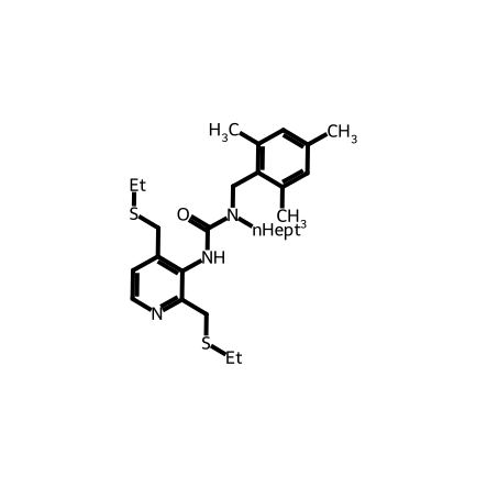 CCCCCCCN(Cc1c(C)cc(C)cc1C)C(=O)Nc1c(CSCC)ccnc1CSCC